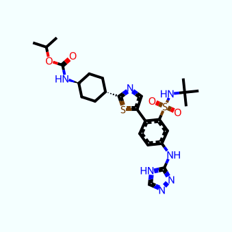 CC(C)OC(=O)N[C@H]1CC[C@H](c2ncc(-c3ccc(Nc4nnc[nH]4)cc3S(=O)(=O)NC(C)(C)C)s2)CC1